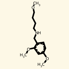 COCCCCNCc1ccc(OC)cc1OC